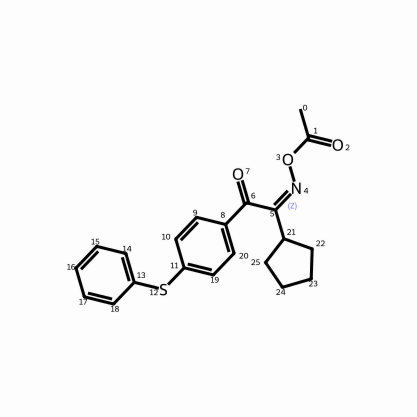 CC(=O)O/N=C(\C(=O)c1ccc(Sc2ccccc2)cc1)C1CCCC1